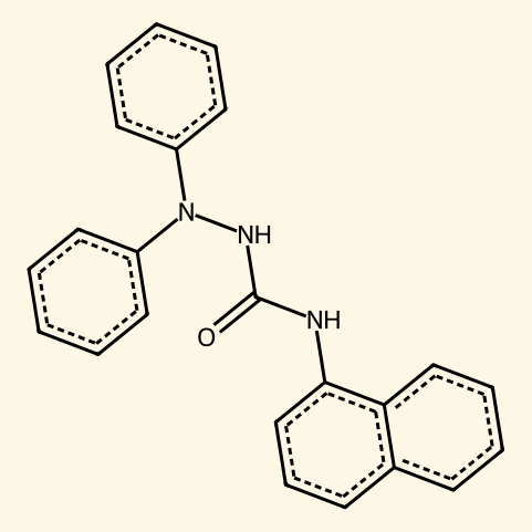 O=C(Nc1cccc2ccccc12)NN(c1ccccc1)c1ccccc1